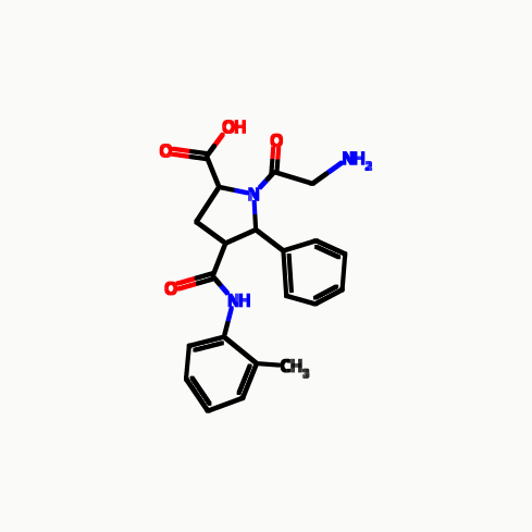 Cc1ccccc1NC(=O)C1CC(C(=O)O)N(C(=O)CN)C1c1ccccc1